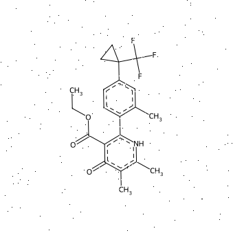 CCOC(=O)c1c(-c2ccc(C3(C(F)(F)F)CC3)cc2C)[nH]c(C)c(C)c1=O